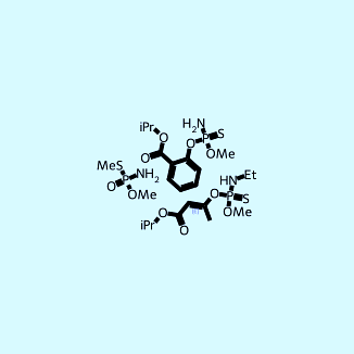 CCNP(=S)(OC)O/C(C)=C/C(=O)OC(C)C.COP(N)(=O)SC.COP(N)(=S)Oc1ccccc1C(=O)OC(C)C